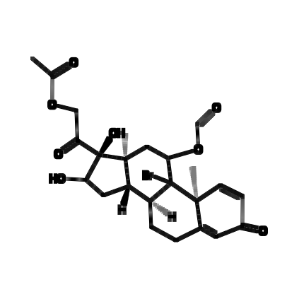 CC(=O)OCC(=O)[C@@]1(O)C(O)C[C@H]2[C@@H]3CCC4=CC(=O)C=C[C@]4(C)C3(Br)C(OC=O)C[C@@]21C